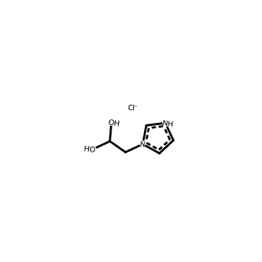 OC(O)C[n+]1cc[nH]c1.[Cl-]